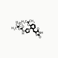 CC(C)Oc1cccc(C=C2SC(=O)NC2=O)c1N1CC[C@H](NC(=O)OC(C)(C)C)C1